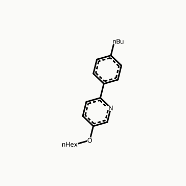 CCCCCCOc1ccc(-c2ccc(CCCC)cc2)nc1